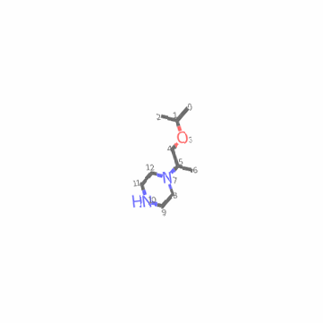 CC(C)OCC(C)N1CCNCC1